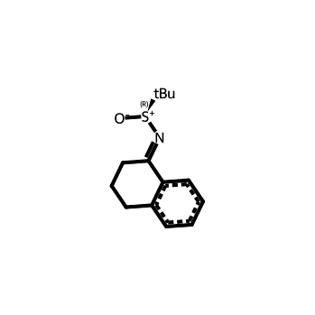 CC(C)(C)[S@+]([O-])N=C1CCCc2ccccc21